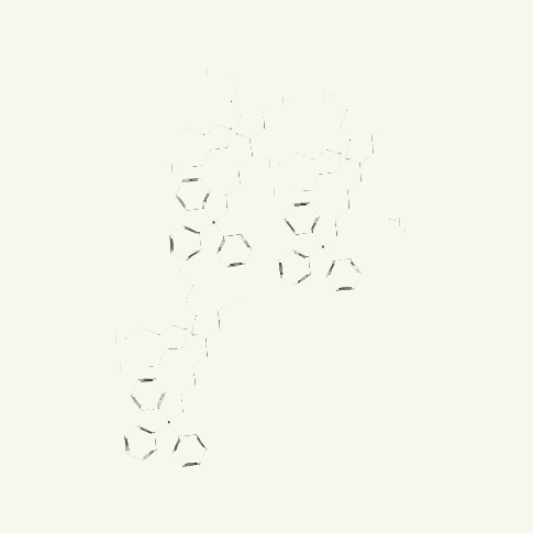 CCCC[N+](CCCC)(CCCC)C(CCC)CCCCCC(c1ccccc1)(c1ccccc1)c1ccccc1.CCCC[N+](CCCC)(CCCC)C(CCC)CCCCCC(c1ccccc1)(c1ccccc1)c1ccccc1.CCCC[N+](CCCC)(CCCC)C(CCC)CCCCCC(c1ccccc1)(c1ccccc1)c1ccccc1.[O-]B([O-])[O-]